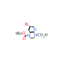 CC(C)(C)OC(=O)N1CCN(C(=O)O)c2ncc(Br)cc21